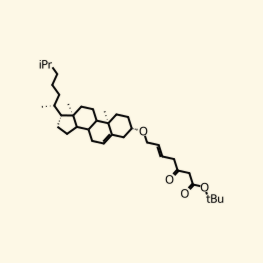 CC(C)CCC[C@@H](C)[C@H]1CCC2C3CC=C4C[C@@H](OC/C=C/CC(=O)CC(=O)OC(C)(C)C)CC[C@]4(C)C3CC[C@@]21C